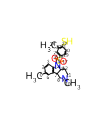 Cc1ccc2c(c1)C1CN(C)CCC1N2S(=O)(=O)c1ccc(S)c(C)c1